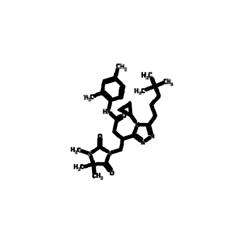 Cc1ccc(NC(=O)CC(CN2C(=O)N(C)C(C)(C)C2=O)c2nnc(CCCC(C)(C)C)n2C2CC2)c(C)c1